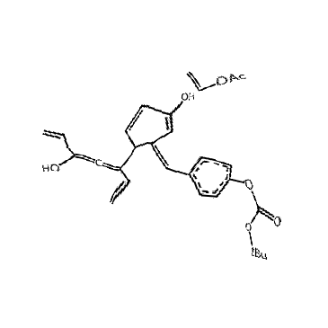 C=CC(O)=C=C(C=C)C1C=CC(O)=CC1=Cc1ccc(OC(=O)OC(C)(C)C)cc1.C=COC(C)=O